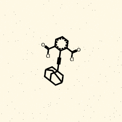 O=C(Cl)c1cccc(C(=O)Cl)c1C#CC12CC3CC(CC(C3)C1)C2